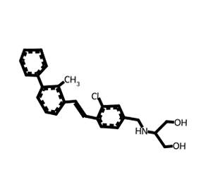 Cc1c(C=Cc2ccc(CNC(CO)CO)cc2Cl)cccc1-c1ccccc1